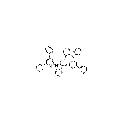 c1ccc(-c2cccc(-n3c4ccccc4c4cccc(-c5ccc6c7ccccc7n(-c7cc(-c8ccccc8)cc(-c8ccccc8)n7)c6c5)c43)c2)cc1